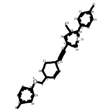 Cc1ccc(OCC2C=CC(C#Cc3ccc(-c4ccc(C)cc4)c(I)c3)CC2)cc1